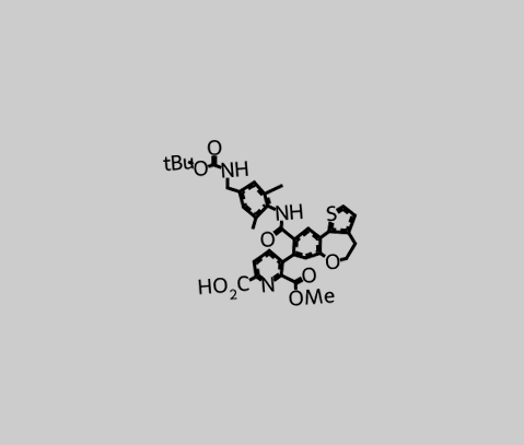 COC(=O)c1nc(C(=O)O)ccc1-c1cc2c(cc1C(=O)Nc1c(C)cc(CNC(=O)OC(C)(C)C)cc1C)-c1sccc1CCO2